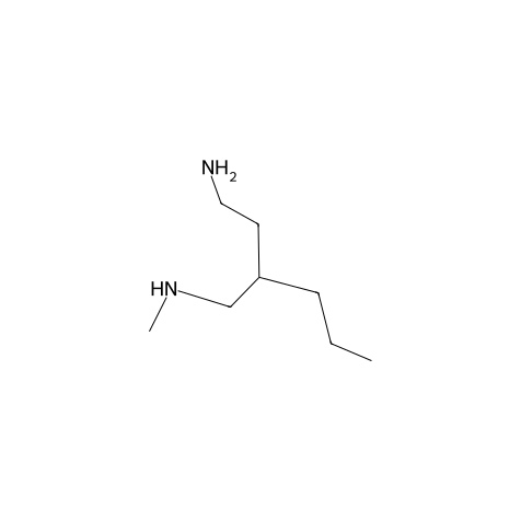 CCCC(CCN)CNC